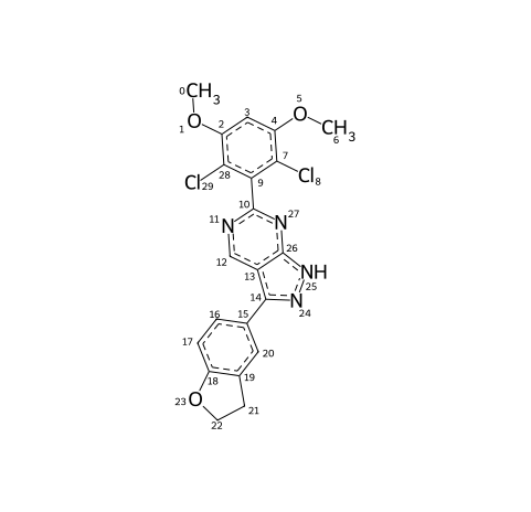 COc1cc(OC)c(Cl)c(-c2ncc3c(-c4ccc5c(c4)CCO5)n[nH]c3n2)c1Cl